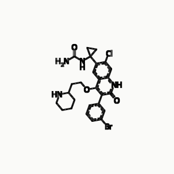 NC(=O)NC1(c2cc3c(OCCC4CCCCN4)c(-c4cccc(Br)c4)c(=O)[nH]c3cc2Cl)CC1